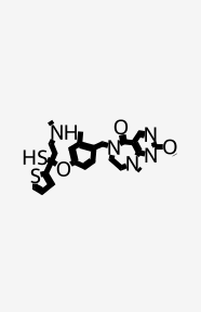 CNCCC(S)(Oc1ccc(CN2CCN(C)c3nc(OC)ncc3C2=O)c(C)c1)c1cccs1